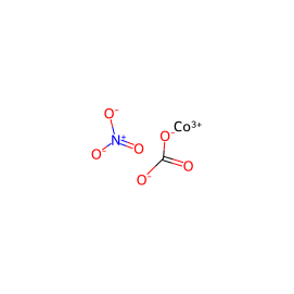 O=C([O-])[O-].O=[N+]([O-])[O-].[Co+3]